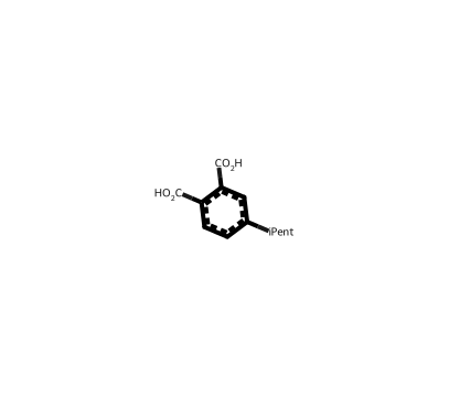 CCCC(C)c1ccc(C(=O)O)c(C(=O)O)c1